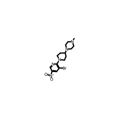 CN1CCN(C2CCN(c3ncc([N+](=O)[O-])cc3Br)CC2)CC1